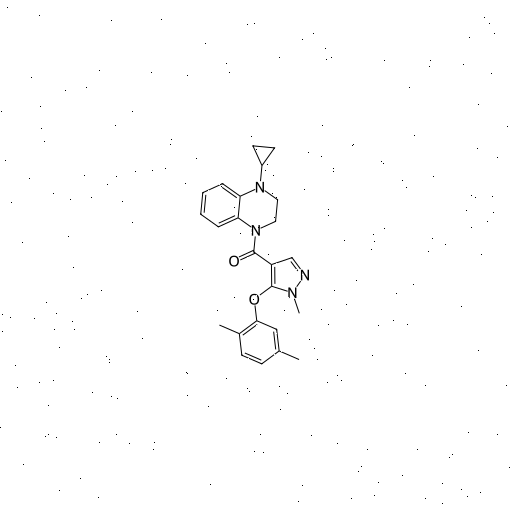 Cc1ccc(C)c(Oc2c(C(=O)N3CCN(C4CC4)c4ccccc43)cnn2C)c1